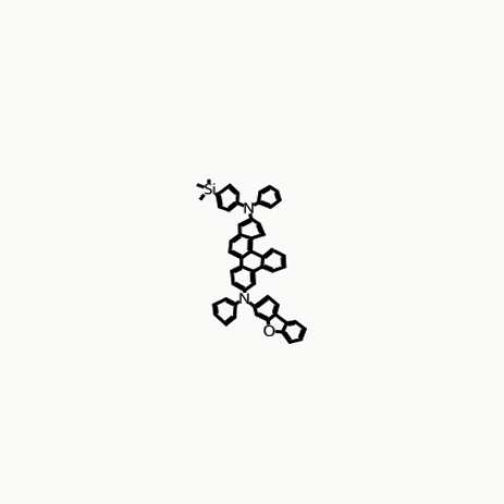 C[Si](C)(C)c1ccc(N(c2ccccc2)c2ccc3c(ccc4c5ccc(N(c6ccccc6)c6ccc7c(c6)oc6ccccc67)cc5c5ccccc5c34)c2)cc1